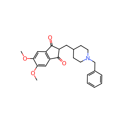 COc1cc2c(cc1OC)C(=O)C(CC1CCN(Cc3ccccc3)CC1)C2=O